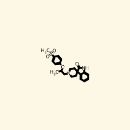 CC(CN1CCC2(CC1)C(=O)Nc1ccccc12)Oc1ccc(S(C)(=O)=O)cc1